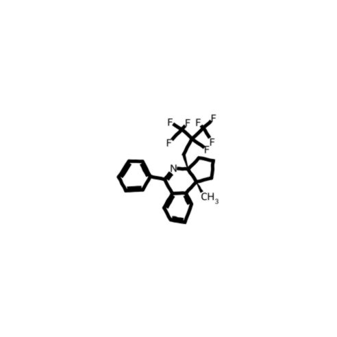 C[C@]12CCC[C@@]1(CC(F)(C(F)(F)F)C(F)(F)F)N=C(c1ccccc1)c1ccccc12